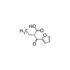 CCC(C(=O)O)C(=O)c1ccco1